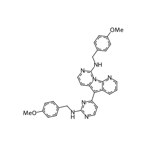 COc1ccc(CNc2nccc(-c3c4cccnc4n4c(NCc5ccc(OC)cc5)nccc34)n2)cc1